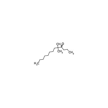 CCCCCCCCC(C)(C)C(=O)CCC